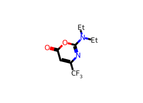 CCN(CC)c1nc(C(F)(F)F)cc(=O)o1